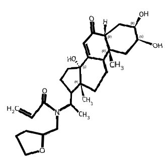 C=CC(=O)N(CC1CCCO1)C(C)C1CC[C@@]2(O)C3=CC(=O)[C@@H]4C[C@@H](O)[C@@H](O)C[C@]4(C)C3CC[C@]12C